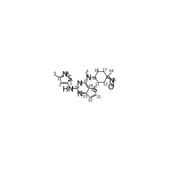 Cc1cc(Nc2nc(N(C)C3CCC(C)(N=O)CC3)c3sccc3n2)sn1